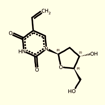 C=Cc1cn([C@H]2C[C@H](O)[C@@H](CO)O2)c(=O)[nH]c1=O